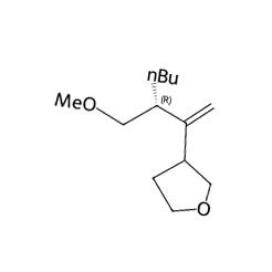 C=C(C1CCOC1)[C@@H](CCCC)COC